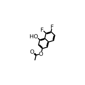 CC(=O)Oc1cc(O)c2c(F)c(F)ccc2c1